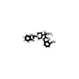 CC(C)c1cccc2c1OC(C(C)(N)C1CCN(c3nc4ccccc4s3)CC1)C2